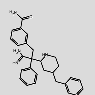 N=C(N)C(Cc1cccc(C(N)=O)c1)(c1ccccc1)C1CC(Cc2ccccc2)CCN1